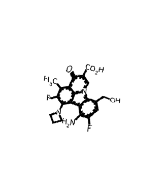 Cc1c(F)c(N2CCC2)c2c3c(N)c(F)cc(CO)c3n3cc(C(=O)O)c(=O)c1c23